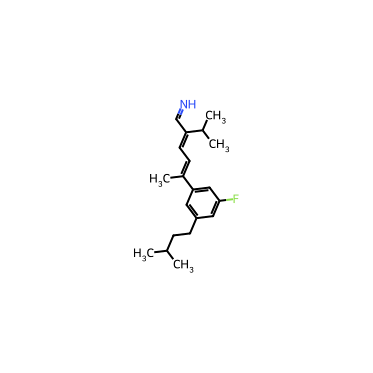 C/C(=C\C=C(\C=N)C(C)C)c1cc(F)cc(CCC(C)C)c1